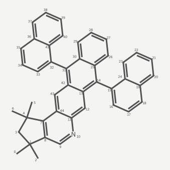 CC1(C)CC(C)(C)c2c1cnc1cc3c(-c4cccc5ccccc45)c4ccccc4c(-c4cccc5ccccc45)c3cc21